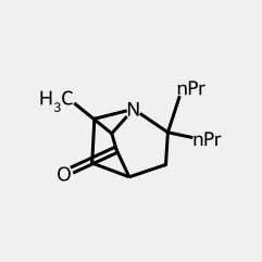 CCCC1(CCC)CC2CCN1C(C)C2=O